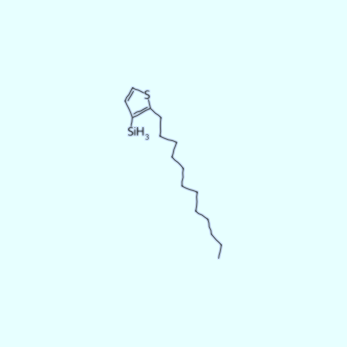 CCCCCCCCCCCCc1sccc1[SiH3]